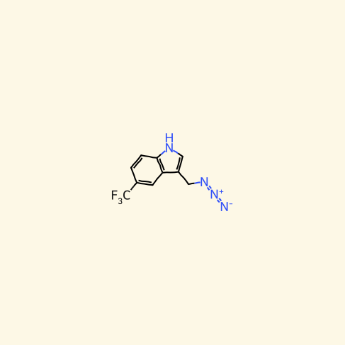 [N-]=[N+]=NCc1c[nH]c2ccc(C(F)(F)F)cc12